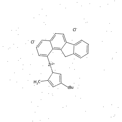 CC1=CC(C(C)(C)C)=C[CH]1[Zr+2][c]1cccc2ccc3c(c12)Cc1ccccc1-3.[Cl-].[Cl-]